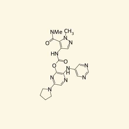 CNC(=O)c1c(NC(=O)Oc2nc(N3CCCC3)cnc2Nc2cncnc2)cnn1C